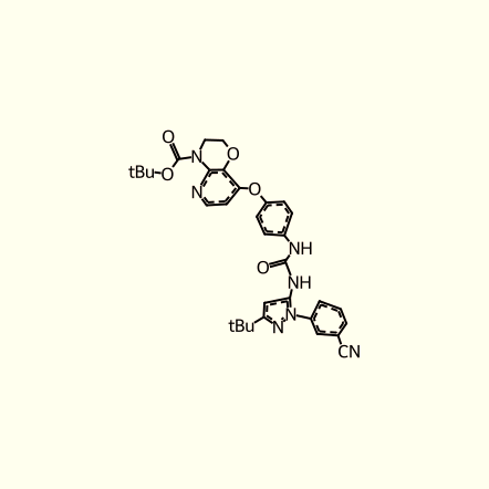 CC(C)(C)OC(=O)N1CCOc2c(Oc3ccc(NC(=O)Nc4cc(C(C)(C)C)nn4-c4cccc(C#N)c4)cc3)ccnc21